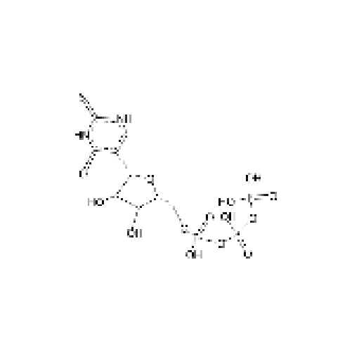 O=c1[nH]c(=S)[nH]cc1[C@@H]1O[C@H](COP(=O)(O)OP(=O)(O)OP(=O)(O)O)C(O)C1O